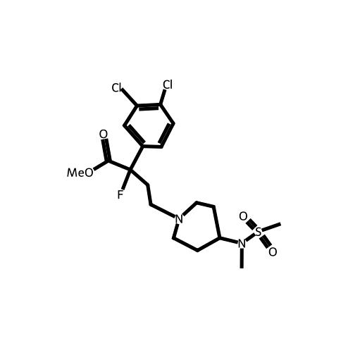 COC(=O)C(F)(CCN1CCC(N(C)S(C)(=O)=O)CC1)c1ccc(Cl)c(Cl)c1